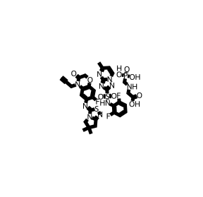 C#CCN1C(=O)COc2cc(F)c(/N=c3\snc4n3CC(C)(C)C4)cc21.Cc1ccn2nc(S(=O)(=O)Nc3c(F)cccc3F)nc2n1.O=C(O)CNCP(=O)(O)O